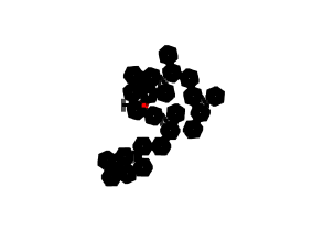 CC1C=CC=C(C2(c3cccc(-c4cccc(-c5ccc(-n6c7ccccc7c7ccc(-c8cccc(-c9cccc(N(c%10ccccc%10)c%10ccc%11c(c%10)C(c%10ccccc%10)(c%10ccccc%10)c%10ccccc%10-%11)c9)c8)cc76)cc5)c4)c3)c3ccccc3-c3ccc(N(c4ccccc4)c4cc(-c5ccccc5)cc(-c5cccc(-c6ccc7c8cc(-c9ccccc9)ccc8n(-c8ccccc8)c7c6)c5)c4)cc32)C1